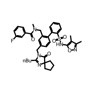 CCCCC1=NC2(CCCC2)C(=O)N1Cc1ccc(-c2ccccc2S(=O)(=O)Nc2onc(C)c2C)c(CN(C)C(=O)c2cccc(F)c2)c1